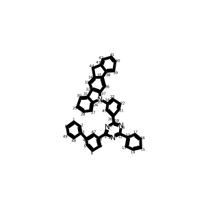 c1ccc(-c2cccc(-c3nc(-c4ccccc4)nc(-c4cccc(-n5c6ccccc6c6cc7c(cc65)-c5ccccc5C7)c4)n3)c2)cc1